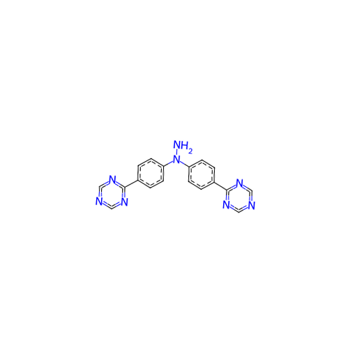 NN(c1ccc(-c2ncncn2)cc1)c1ccc(-c2ncncn2)cc1